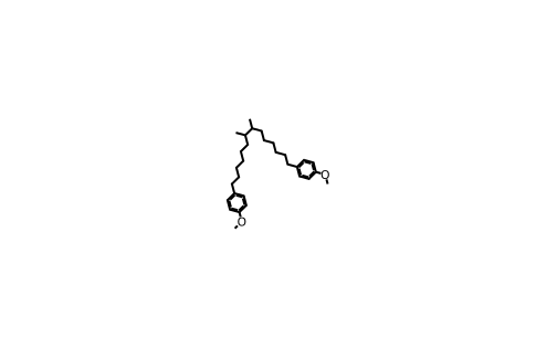 COc1ccc(CCCCCCC(C)C(C)CCCCCCc2ccc(OC)cc2)cc1